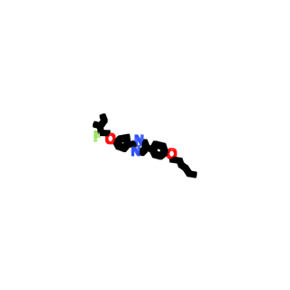 CCCCCCOc1ccc(-c2cnc(-c3ccc(OCC(F)C(C)CC)cc3)nc2)cc1